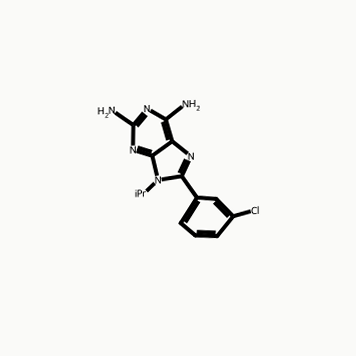 CC(C)n1c(-c2cccc(Cl)c2)nc2c(N)nc(N)nc21